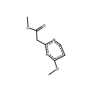 COC(=O)Cc1nccc(OC)n1